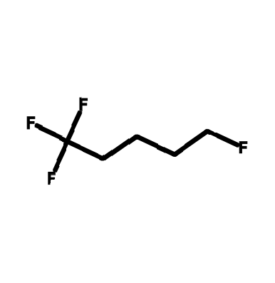 FCCCCC(F)(F)F